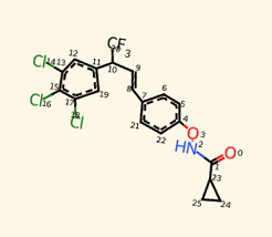 O=C(NOc1ccc(C=CC(c2cc(Cl)c(Cl)c(Cl)c2)C(F)(F)F)cc1)C1CC1